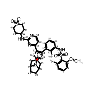 COc1cccc(F)c1S(=O)(=O)Nc1cccc(-c2nc(N3C4CCC3CN(C)C4)sc2-c2ccnc(NC3CCS(=O)(=O)CC3)n2)c1F